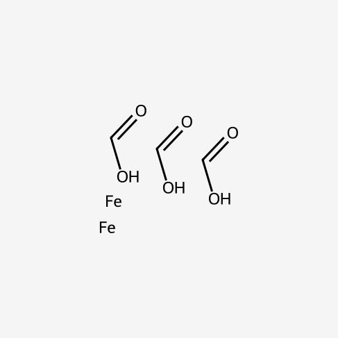 O=CO.O=CO.O=CO.[Fe].[Fe]